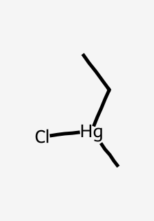 C[CH2][Hg]([CH3])[Cl]